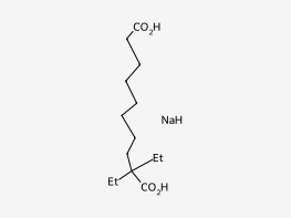 CCC(CC)(CCCCCCCC(=O)O)C(=O)O.[NaH]